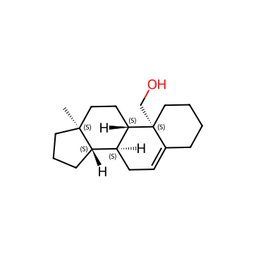 C[C@@]12CCC[C@H]1[C@@H]1CC=C3CCCC[C@]3(CO)[C@H]1CC2